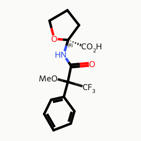 COC(C(=O)N[C@]1(C(=O)O)CCCO1)(c1ccccc1)C(F)(F)F